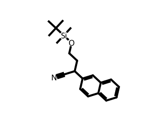 CC(C)(C)[Si](C)(C)OCCC(C#N)c1ccc2ccccc2c1